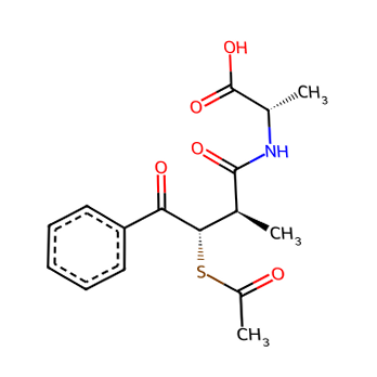 CC(=O)S[C@H](C(=O)c1ccccc1)[C@H](C)C(=O)N[C@@H](C)C(=O)O